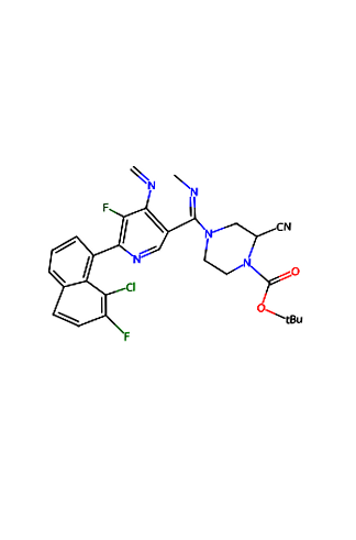 C=Nc1c(/C(=N\C)N2CCN(C(=O)OC(C)(C)C)C(C#N)C2)cnc(-c2cccc3ccc(F)c(Cl)c23)c1F